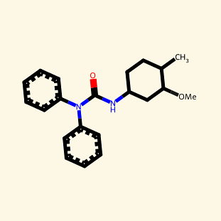 COC1CC(NC(=O)N(c2ccccc2)c2ccccc2)CCC1C